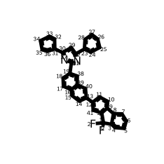 FC1(F)c2ccccc2-c2ccc(-c3ccc4ccc(-c5nc(-c6ccccc6)cc(-c6ccccc6)n5)cc4c3)cc21